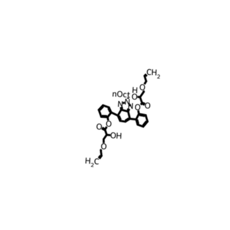 C=CCOCC(O)C(=O)Oc1ccccc1-c1ccc(-c2ccccc2OC(=O)C(O)COCC=C)c2nn(CCCCCCCC)nc12